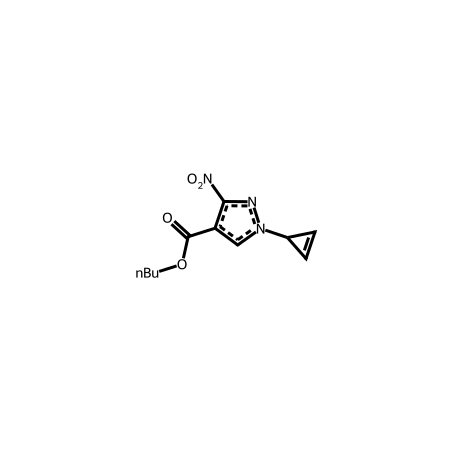 CCCCOC(=O)c1cn(C2C=C2)nc1[N+](=O)[O-]